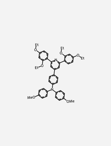 CCOc1ccc(-c2cc(-c3ccc(N(c4ccc(OC)cc4)c4ccc(OC)cc4)cc3)cc(-c3ccc(OCC)cc3OCC)n2)c(OCC)c1